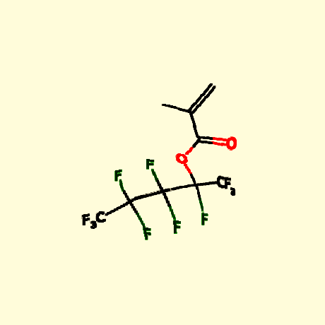 C=C(C)C(=O)OC(F)(C(F)(F)F)C(F)(F)C(F)(F)C(F)(F)F